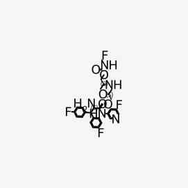 N[C@H](C(=O)Nc1cncc(F)c1OC[C@@H]1CN[C@H](COC(=O)NCF)CO1)C(c1ccc(F)cc1)c1ccc(F)cc1